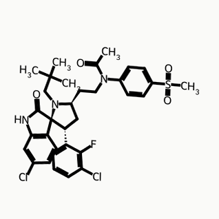 CC(=O)N(CC[C@H]1C[C@H](c2cccc(Cl)c2F)[C@]2(C(=O)Nc3cc(Cl)ccc32)N1CC(C)(C)C)c1ccc(S(C)(=O)=O)cc1